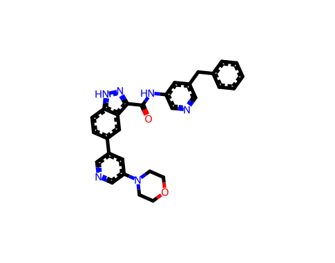 O=C(Nc1cncc(Cc2ccccc2)c1)c1n[nH]c2ccc(-c3cncc(N4CCOCC4)c3)cc12